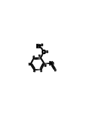 C=Nc1ccccc1OCC